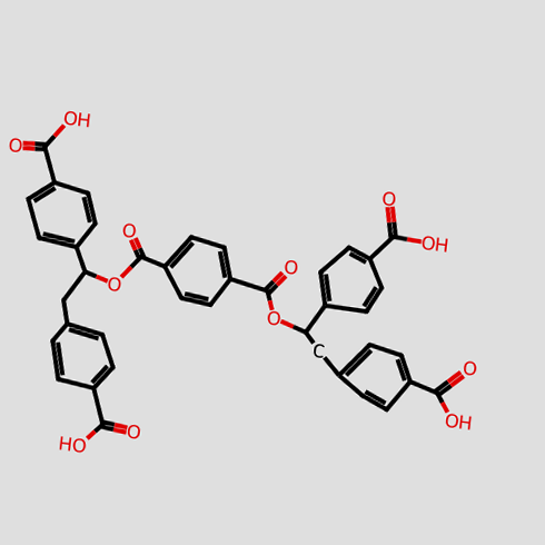 O=C(O)c1ccc(CC(OC(=O)c2ccc(C(=O)OC(Cc3ccc(C(=O)O)cc3)c3ccc(C(=O)O)cc3)cc2)c2ccc(C(=O)O)cc2)cc1